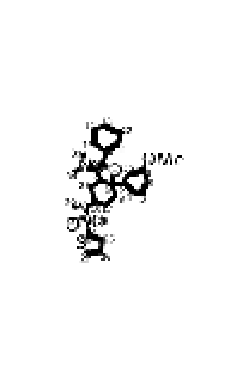 COc1cccc(C2(OC(=O)c3ccccc3)CCC(N(C)S(=O)(=O)c3cccs3)CC2CN(C)C)c1